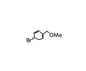 COCC1=CC[C](Br)C=C1